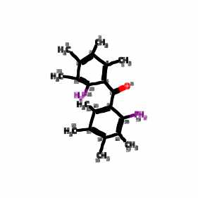 Cc1c(C)c(C)c(C(=O)c2c(C)c(C)c(C)c(C)c2P)c(P)c1C